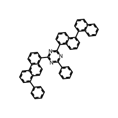 c1ccc(-c2nc(-c3cccc4c(-c5cccc6ccccc56)cccc34)nc(-c3cccc4c3ccc3c(-c5ccccc5)cccc34)n2)cc1